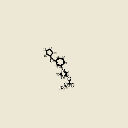 CC(C)OC(=O)Oc1cn(-c2cccc(OC3CCCC3)c2)cn1